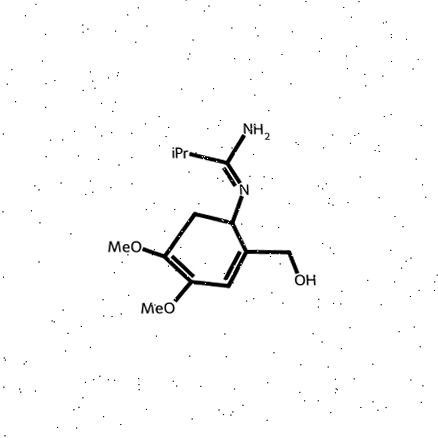 COC1=C(OC)CC(/N=C(/N)C(C)C)C(CO)=C1